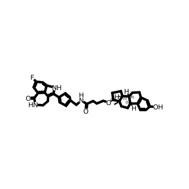 C[C@]12CC[C@@H]3c4ccc(O)cc4CC[C@H]3[C@@H]1CC[C@@H]2OCCCC(=O)NCc1ccc(-c2[nH]c3cc(F)cc4c3c2CCNC4=O)cc1